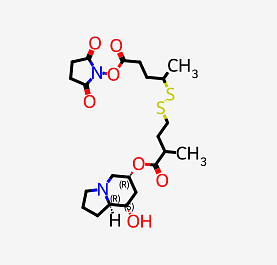 CC(CCC(=O)ON1C(=O)CCC1=O)SSCCC(C)C(=O)O[C@@H]1C[C@H](O)[C@H]2CCCN2C1